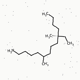 CCCC[C@@](C)(CC)CCCC(C)CCCCN